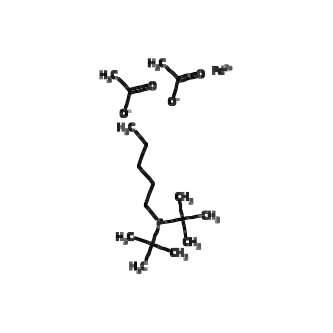 CC(=O)[O-].CC(=O)[O-].CCCCCP(C(C)(C)C)C(C)(C)C.[Pd+2]